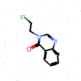 O=c1c2ccccc2ncn1CCCl